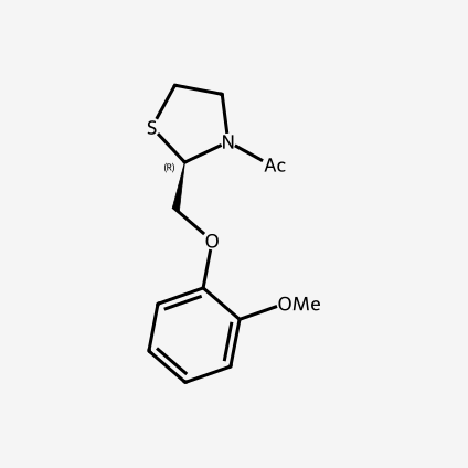 COc1ccccc1OC[C@H]1SCCN1C(C)=O